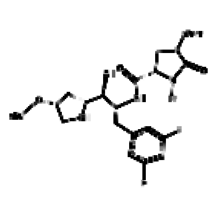 CCCCCN1C[C@@H](C(=O)N[C@@H](Cc2cc(F)cc(F)c2)[C@H](O)[C@H]2C[C@@H](OCCCC)CN2)N(CC)C1=O